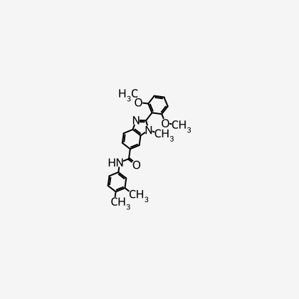 COc1cccc(OC)c1-c1nc2ccc(C(=O)Nc3ccc(C)c(C)c3)cc2n1C